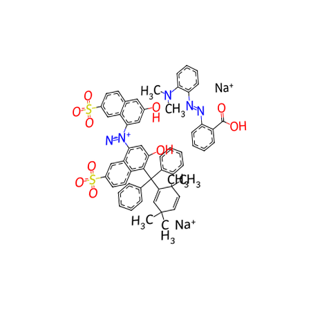 CC1(C)C=CC(C)(C)C(C(c2ccccc2)(c2ccccc2)c2c(O)cc([N+](=[N-])c3cc(O)cc4ccc(S(=O)(=O)[O-])cc34)c3cc(S(=O)(=O)[O-])ccc23)=C1.CN(C)c1ccccc1N=Nc1ccccc1C(=O)O.[Na+].[Na+]